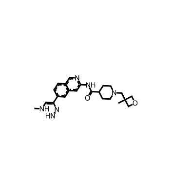 CN/C=C(\N=N)c1ccc2cnc(NC(=O)C3CCN(CC4(C)COC4)CC3)cc2c1